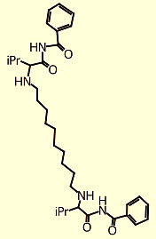 CC(C)C(NCCCCCCCCCCNC(C(=O)NC(=O)c1ccccc1)C(C)C)C(=O)NC(=O)c1ccccc1